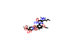 CCCc1nn(C)c2c(=O)[nH]c(-c3cc(S(=O)(=O)N4CCC(C(O)C(=O)OC)CC4)ccc3OCC)nc12